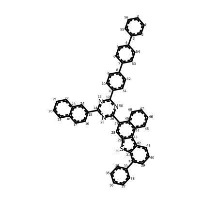 c1ccc(-c2ccc(-c3ccc(-c4nc(-c5ccc6ccccc6c5)nc(-c5cc6sc7c(-c8ccccc8)cccc7c6c6ccccc56)n4)cc3)cc2)cc1